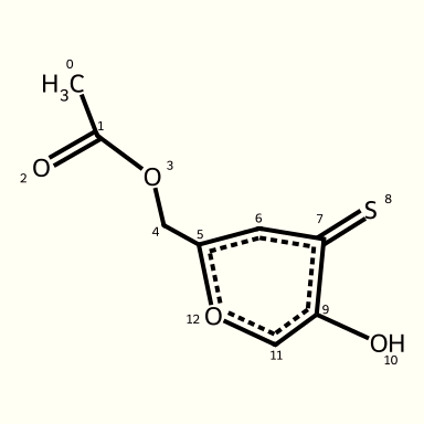 CC(=O)OCc1cc(=S)c(O)co1